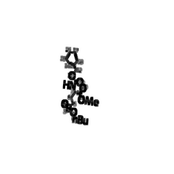 CCCCOP(C)(=O)CCC(NC(=O)OCc1ccccc1)C(=O)OC